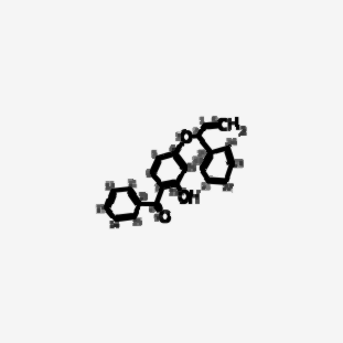 C=CC(Oc1ccc(C(=O)c2ccccc2)c(O)c1)c1ccccc1